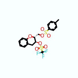 Cc1ccc(S(=O)(=O)OC[C@H]2Oc3ccccc3C[C@@H]2OS(=O)(=O)C(F)(F)F)cc1